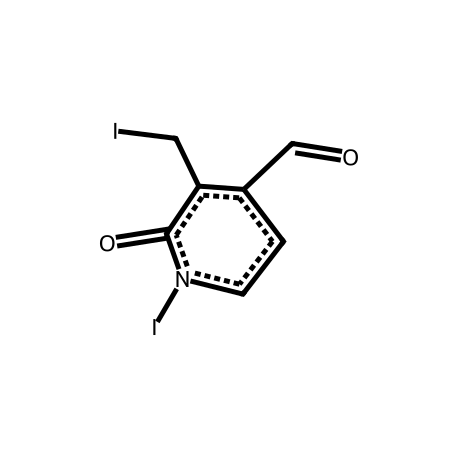 O=Cc1ccn(I)c(=O)c1CI